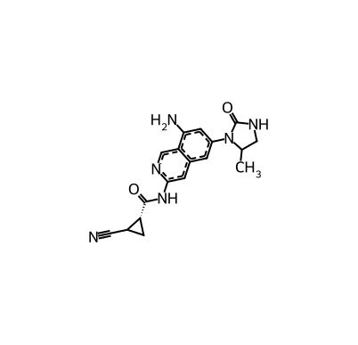 CC1CNC(=O)N1c1cc(N)c2cnc(NC(=O)[C@@H]3CC3C#N)cc2c1